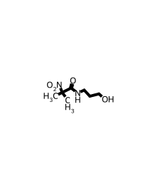 CC(C)(C(=O)NCCCO)[N+](=O)[O-]